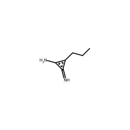 CCCc1c(N)c1=N